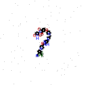 N#Cc1ccc(N2CCC(C(=O)Nc3ccc(N4CC(CN5CCC(Oc6ccc7c(c6)C(=O)N(C6CCC(=O)NC6=O)C7=O)CC5)C4)cn3)CC2)cc1C(F)(F)F